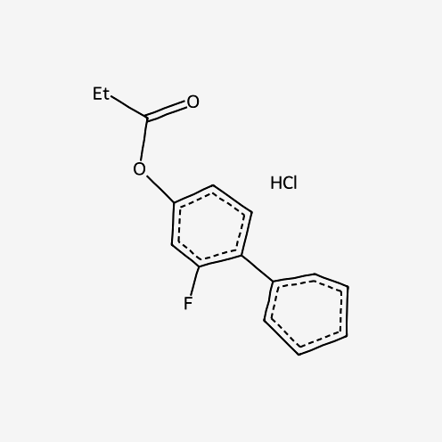 CCC(=O)Oc1ccc(-c2ccccc2)c(F)c1.Cl